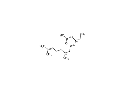 CC[C@H](C=CC[C@H](C)CCC=C(C)C)OC(=O)O